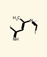 CC(=CC(=N)I)/N=C\I